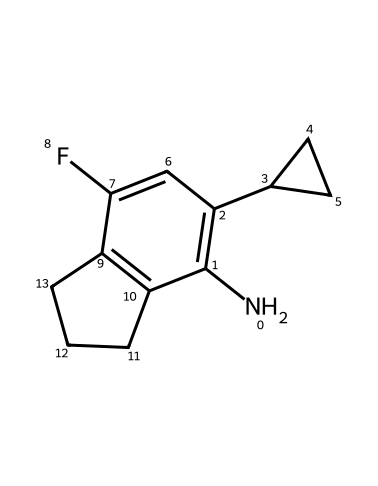 Nc1c(C2CC2)cc(F)c2c1CCC2